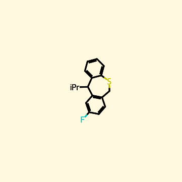 CC(C)C1c2cc(F)ccc2CSc2ccccc21